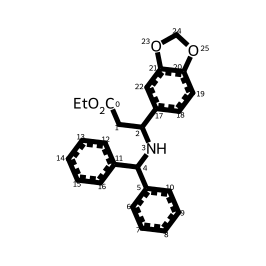 CCOC(=O)CC(NC(c1ccccc1)c1ccccc1)c1ccc2c(c1)OCO2